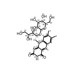 Cc1cc2nc3c(=O)[nH]c(=O)nc-3n(C[C@@H](OC3O[C@H](CO)[C@@H](O)[C@H](O)[C@H]3O)[C@@H](O)[C@@H](O)CO)c2cc1C